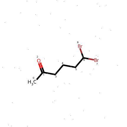 CC(=O)CCCC(Br)Br